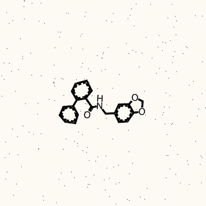 O=C(NCc1ccc2c(c1)OCO2)c1ccccc1-c1ccccc1